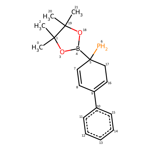 CC1(C)OB(C2(P)C=CC(c3ccccc3)=CC2)OC1(C)C